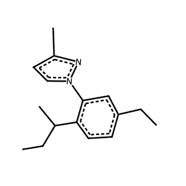 CCc1ccc(C(C)CC)c(-n2ccc(C)n2)c1